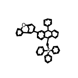 C(#CS(c1ccccc1)(c1ccccc1)c1ccccc1)C1=C2C=CC=CC2C(c2ccccc2)c2cc(C3=CC=C4CC(=C3)c3ccccc3O4)ccc21